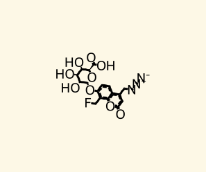 [N-]=[N+]=NCc1cc(=O)oc2c(CF)c(O[C@@H]3O[C@H](C(=O)O)[C@@H](O)[C@H](O)[C@H]3O)ccc12